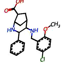 COc1ccc(Cl)cc1CNC1C2CC(NC1c1ccccc1)C(C(=O)O)C2